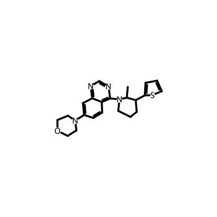 CC1C(c2cccs2)CCCN1c1ncnc2cc(N3CCOCC3)ccc12